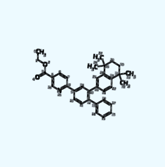 CCOC(=O)c1ccc(-c2ccc(-c3ccccc3)c(-c3ccc4c(c3)C(C)(C)CCC4(C)C)c2)nc1